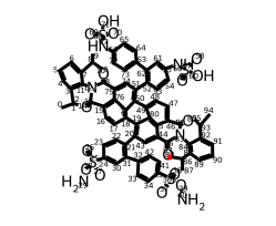 CC(C)c1cccc(C(C)C)c1N1C(=O)c2ccc3c4c(-c5ccc(S(=O)(=O)ON)cc5-c5ccc(S(=O)(=O)ON)cc5)cc5c6c(ccc(c7c(-c8ccc(NS(=O)(=O)O)cc8-c8ccc(NS(=O)(=O)O)cc8)cc(c2c37)C1=O)c64)C(=O)N(c1c(C(C)C)cccc1C(C)C)C5=O